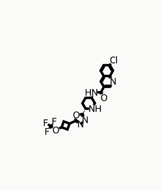 O=C(N[C@@H]1CC[C@@H](c2nnc(C3CC(OC(F)(F)F)C3)o2)NC1)c1cnc2cc(Cl)ccc2c1